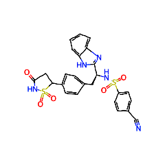 N#Cc1ccc(S(=O)(=O)N[C@@H](Cc2ccc(C3CC(=O)NS3(=O)=O)cc2)c2nc3ccccc3[nH]2)cc1